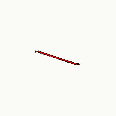 OCCOCCOCCOCCOCCOCCOCCOCCOCCOCCCOCCCOCCCOCCCOCCCOCCCOCCCOCCCOCCCOCCCOCCCOCCCOCCCOCCCOCCCOCCCOCCCOCCCOCCCOCCCOCCOCCOCCOCCOCCOCCOCCOCCOCCO